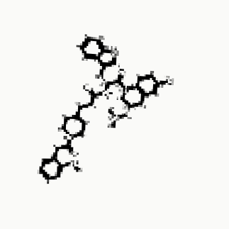 COc1ccccc1CC(=O)N1CCC(CCC(=O)N[C@H](Cc2c[nH]c3ccccc23)C(=O)N2C[C@@H](CN(C)C)Cc3cc(Cl)ccc32)CC1